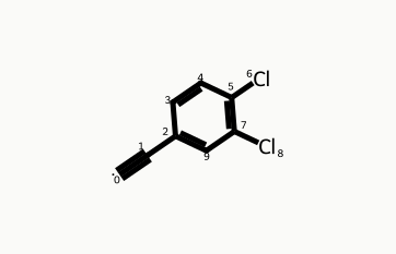 [C]#Cc1ccc(Cl)c(Cl)c1